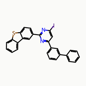 Ic1cc(-c2cccc(-c3ccccc3)c2)nc(-c2ccc3sc4ccccc4c3c2)n1